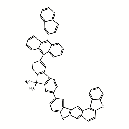 CC1(C)C2=C(C=C(c3c4ccccc4c(-c4ccc5ccccc5c4)c4ccccc34)CC2)c2ccc(-c3ccc4sc5cc6ccc7oc8ccccc8c7c6cc5c4c3)cc21